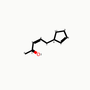 CC(=O)/C=C\CC1C=CCC1